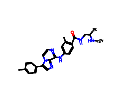 CCCNC(CC)CNC(=O)c1ccc(Nc2nccn3c(-c4ccc(C)cc4)cnc23)cc1C